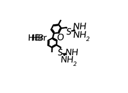 Br.Br.Cc1ccc2c(oc3c(CSC(=N)N)c(C)ccc32)c1CSC(=N)N